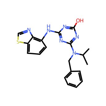 CC(C)N(Cc1ccccc1)c1nc(O)nc(Nc2cccc3scnc23)n1